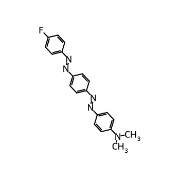 CN(C)c1ccc(/N=N/c2ccc(/N=N/c3ccc(F)cc3)cc2)cc1